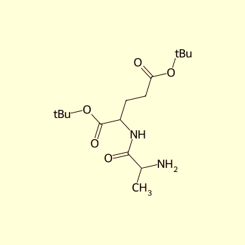 CC(N)C(=O)NC(CCC(=O)OC(C)(C)C)C(=O)OC(C)(C)C